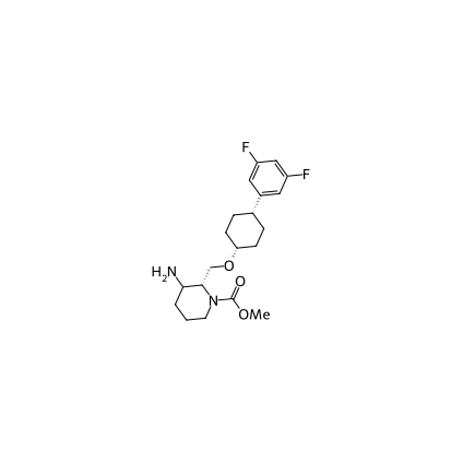 COC(=O)N1CCCC(N)[C@@H]1CO[C@H]1CC[C@@H](c2cc(F)cc(F)c2)CC1